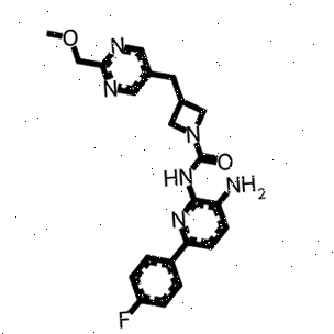 COCc1ncc(CC2CN(C(=O)Nc3nc(-c4ccc(F)cc4)ccc3N)C2)cn1